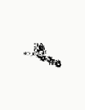 CCc1noc(CC)c1C(=O)N[C@@H](Cc1ccc(N2CCC(CNc3ccccn3)CC2)cc1)C(=O)O